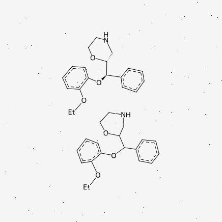 CCOc1ccccc1OC(c1ccccc1)C1CNCCO1.CCOc1ccccc1O[C@H](c1ccccc1)[C@H]1CNCCO1